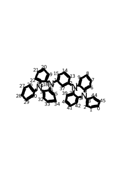 c1ccc(N2c3ccccc3N(c3cccc(N4c5ccccc5N(c5ccccc5)c5ccccc54)c3)c3ccccc32)cc1